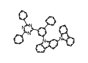 c1ccc(-c2cc(-c3nc(-c4ccccc4)nc(-c4ccccc4)n3)cc(-n3c4ccccc4c4ccc(-n5c6ccccc6c6ccccc65)cc43)c2)cc1